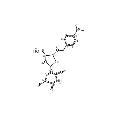 CN(C)c1ccc(COC2C[C@@H](n3cc(F)c(=O)[nH]c3=O)O[C@H]2CO)cc1